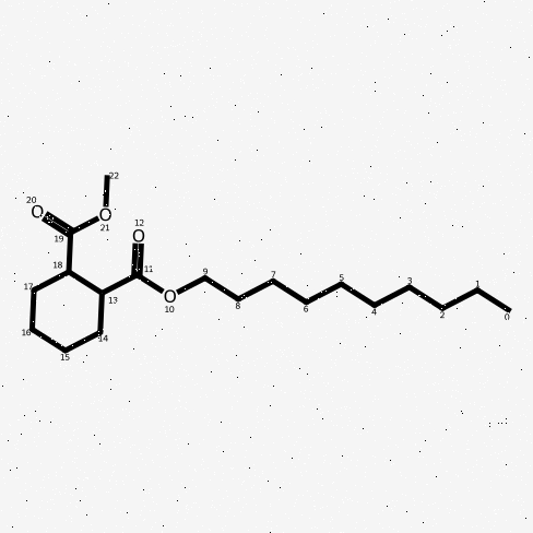 CCCCCCCCCCOC(=O)C1CCCCC1C(=O)OC